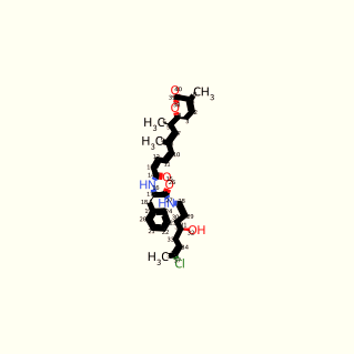 CC1=CC[C@@H]([C@@H](C)/C=C(C)/C=C\C=C/C(=O)N[C@@H](Cc2ccccc2)C(=O)N/C=C\C[C@@H](O)C/C=C(\C)Cl)OC1=O